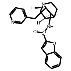 [O-][S+](N[C@@H]1C2CCN(CC2)[C@H]1Cc1cccnc1)c1cc2ccccc2o1